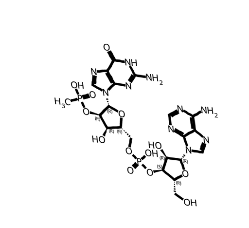 CP(=O)(O)O[C@@H]1[C@H](O)[C@@H](COP(=O)(O)O[C@H]2[C@@H](O)[C@H](n3cnc4c(N)ncnc43)O[C@@H]2CO)O[C@H]1n1cnc2c(=O)[nH]c(N)nc21